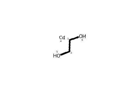 OCCO.[Cd]